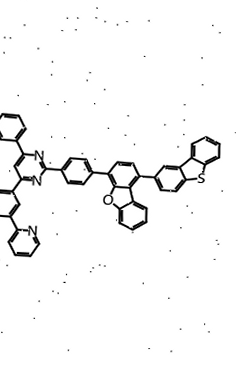 c1ccc(-c2cc(-c3cccc(-c4ccccn4)c3)nc(-c3ccc(-c4ccc(-c5ccc6sc7ccccc7c6c5)c5c4oc4ccccc45)cc3)n2)cc1